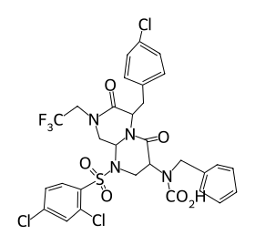 O=C1C(Cc2ccc(Cl)cc2)N2C(=O)C(N(Cc3ccccc3)C(=O)O)CN(S(=O)(=O)c3ccc(Cl)cc3Cl)C2CN1CC(F)(F)F